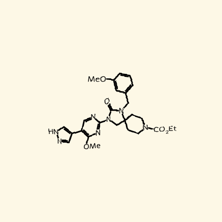 CCOC(=O)N1CCC2(CC1)CN(c1ncc(-c3cn[nH]c3)c(OC)n1)C(=O)N2Cc1cccc(OC)c1